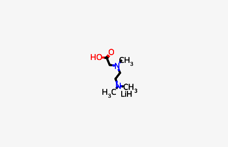 CN(C)CCN(C)CC(=O)O.[LiH]